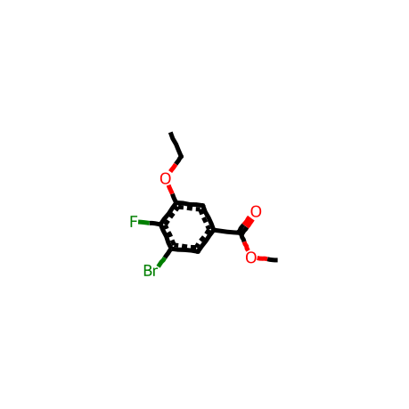 CCOc1cc(C(=O)OC)cc(Br)c1F